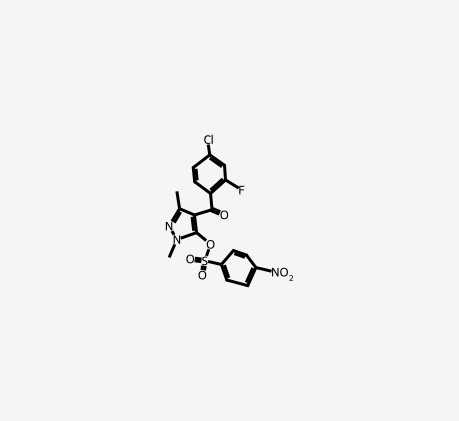 Cc1nn(C)c(OS(=O)(=O)c2ccc([N+](=O)[O-])cc2)c1C(=O)c1ccc(Cl)cc1F